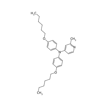 CCCCCCOc1ccc(N(c2ccc(OCCCCCC)cc2)c2ccnc(C)c2)cc1